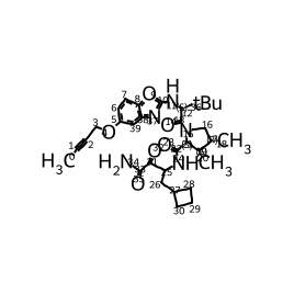 CC#CCOc1ccc2oc(N[C@H](C(=O)N3C[C@H](C)[C@H](C)[C@H]3C(=O)NC(CC3CCC3)C(=O)C(N)=O)C(C)(C)C)nc2c1